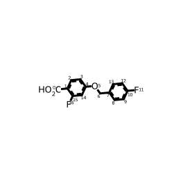 O=C(O)c1ccc(OCc2ccc(F)cc2)cc1F